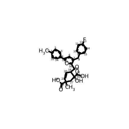 Cc1ccc(-c2cc(Cc3ccc(F)cc3)c(C(=O)C3C=CC(C)(C(=O)O)CC3(O)C(=O)O)o2)cc1